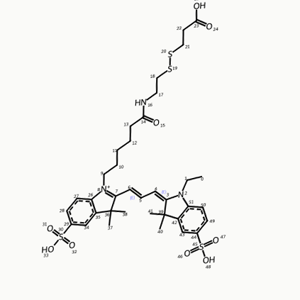 CCN1/C(=C/C=C/C2=[N+](CCCCCC(=O)NCCSSCCC(=O)O)c3ccc(S(=O)(=O)O)cc3C2(C)C)C(C)(C)c2cc(S(=O)(=O)O)ccc21